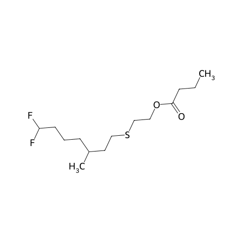 CCCC(=O)OCCSCCC(C)CCCC(F)F